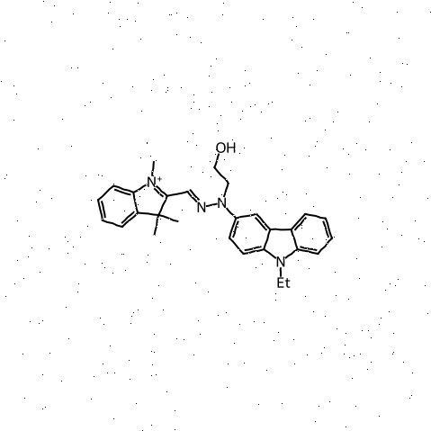 CCn1c2ccccc2c2cc(N(CCO)N=CC3=[N+](C)c4ccccc4C3(C)C)ccc21